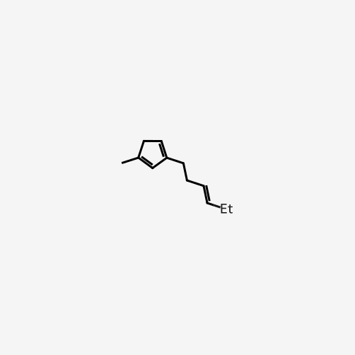 CCC=CCCC1=CCC(C)=C1